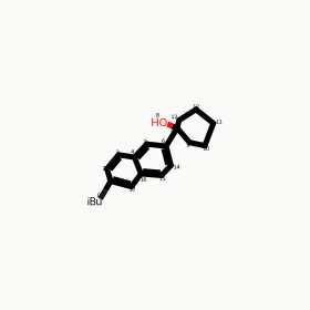 CCC(C)c1ccc2cc(C3(O)CCCCC3)ccc2c1